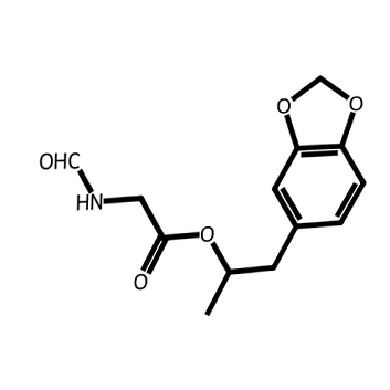 CC(Cc1ccc2c(c1)OCO2)OC(=O)CNC=O